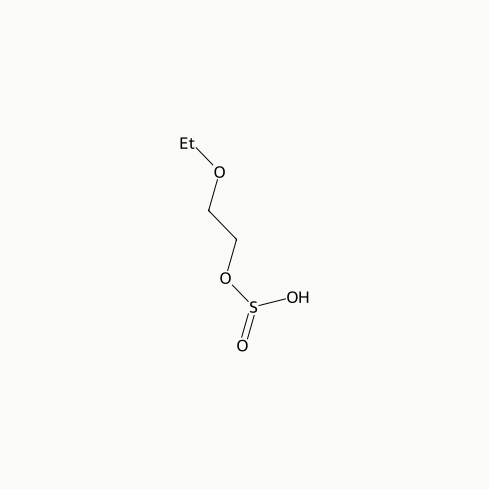 CCOCCOS(=O)O